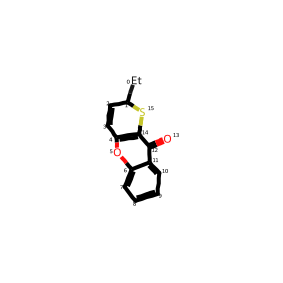 CCC1C=Cc2oc3ccccc3c(=O)c2S1